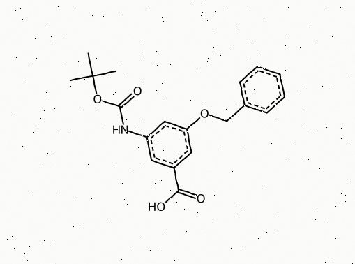 CC(C)(C)OC(=O)Nc1cc(OCc2ccccc2)cc(C(=O)O)c1